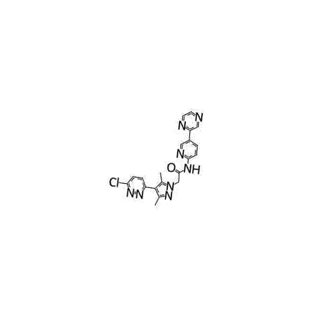 Cc1nn(CC(=O)Nc2ccc(-c3cnccn3)cn2)c(C)c1-c1ccc(Cl)nn1